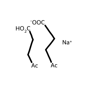 CC(=O)CCC(=O)O.CC(=O)CCC(=O)[O-].[Na+]